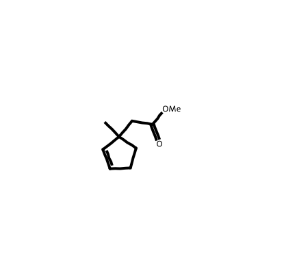 COC(=O)CC1(C)C=CCC1